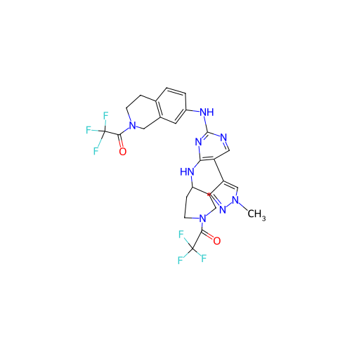 Cn1cc(-c2cnc(Nc3ccc4c(c3)CN(C(=O)C(F)(F)F)CC4)nc2NC2CCN(C(=O)C(F)(F)F)CC2)cn1